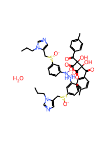 CCCn1cncc1C[S+]([O-])c1cccc(NOC(=O)C(O)(C(=O)c2ccc(C)cc2)C(O)(C(=O)ONc2cccc([S+]([O-])Cc3cncn3CCC)c2)C(=O)c2ccc(C)cc2)c1.O